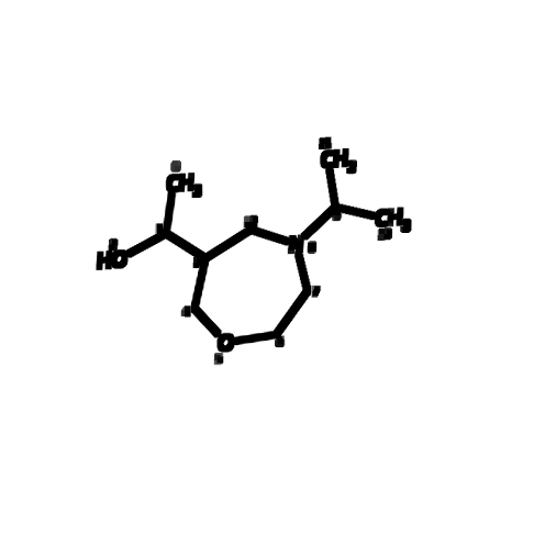 CC(O)C1COCCN(C(C)C)C1